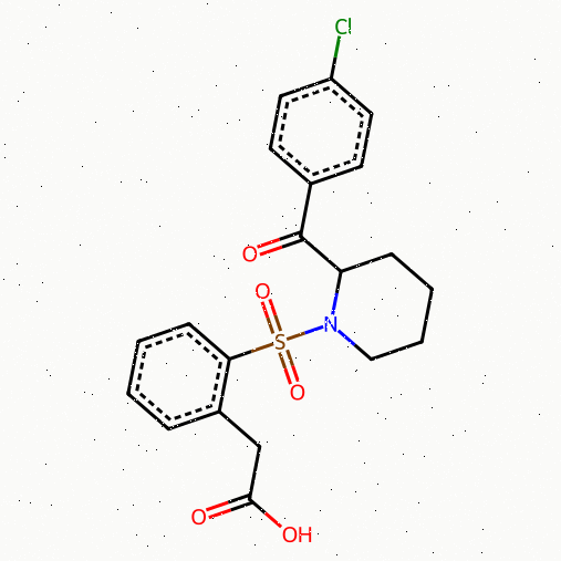 O=C(O)Cc1ccccc1S(=O)(=O)N1CCCCC1C(=O)c1ccc(Cl)cc1